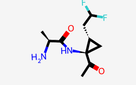 CC(=O)[C@@]1(NC(=O)[C@H](C)N)C[C@H]1CC(F)F